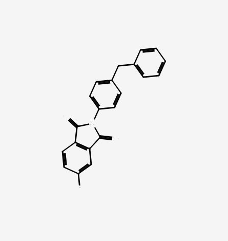 CC(=O)c1ccc2c(c1)C(=O)N(c1ccc(Cc3ccccc3)cc1)C2=O